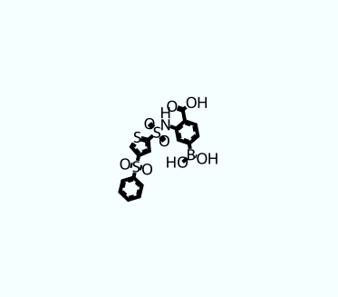 O=C(O)c1ccc(B(O)O)cc1NS(=O)(=O)c1cc(S(=O)(=O)c2ccccc2)cs1